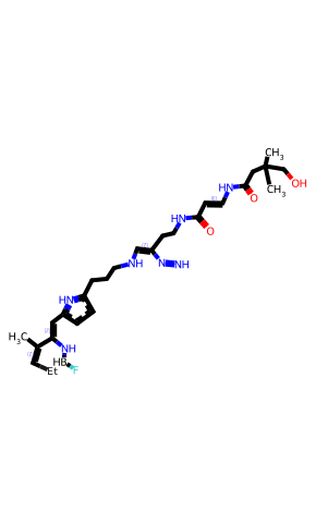 CC/C=C(C)\C(=C\c1ccc(CCCN/C=C(/CCNC(=O)/C=C/NC(=O)CC(C)(C)CO)N=N)[nH]1)NBF